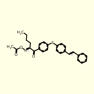 CCCC/C(=N\OC(C)=O)C(=O)c1ccc(Sc2ccc(/C=C/c3ccccc3)cc2)cc1